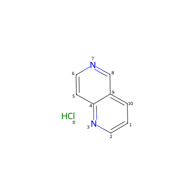 Cl.c1cnc2ccncc2c1